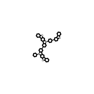 c1ccc(-n2c3ccc(-c4ccc5c(c4)c4cc6c(cc4n5-c4ccc(-c5ccc7sc8ccccc8c7c5)cc4)oc4ccccc46)cc3c3cc4c(cc32)oc2ccccc24)cc1